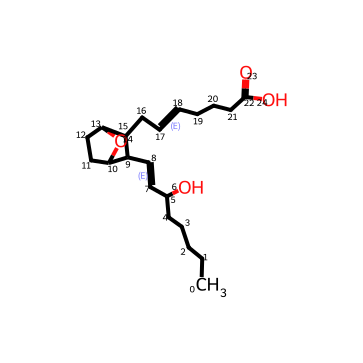 CCCCCC(O)/C=C/C1C2CCC(O2)C1C/C=C/CCCC(=O)O